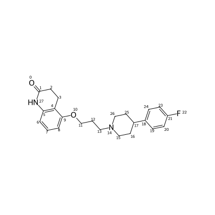 O=C1CCc2c(cccc2OCCCN2CCC(c3ccc(F)cc3)CC2)N1